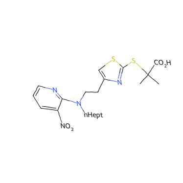 CCCCCCCN(CCc1csc(SC(C)(C)C(=O)O)n1)c1ncccc1[N+](=O)[O-]